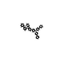 c1ccc(-c2ccc(N(c3ccc(-c4ccccc4)cc3)c3ccc(-c4ccc5c(c4)c4ccccc4n5-c4cccc5c4oc4ccccc45)cc3)cc2)cc1